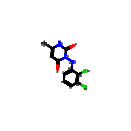 O=c1cc(C(F)(F)F)[nH]c(=O)n1Nc1cccc(Cl)c1Cl